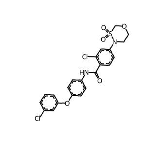 O=C(Nc1ccc(Oc2cccc(Cl)c2)cc1)c1ccc(N2CCOCS2(=O)=O)cc1Cl